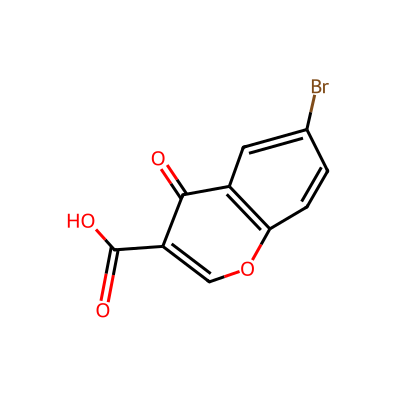 O=C(O)c1coc2ccc(Br)cc2c1=O